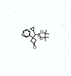 CC1(C)OB(C(C2CC2)C2(c3cccnc3)CC(=O)C2)OC1(C)C